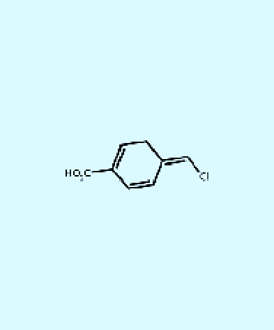 O=C(O)C1=CCC(=CCl)C=C1